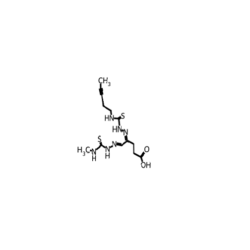 CC#CCCNC(=S)N/N=C(\C=N\NC(=S)NC)CCC(=O)O